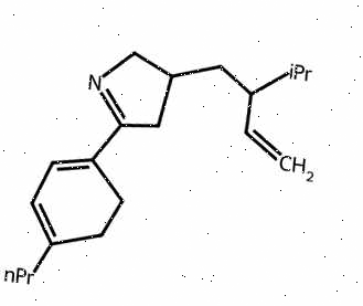 C=CC(CC1CN=C(C2=CC=C(CCC)CC2)C1)C(C)C